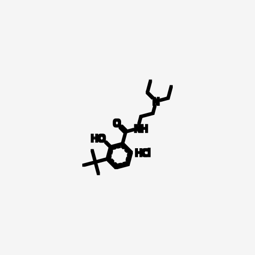 CCN(CC)CCNC(=O)c1cccc(C(C)(C)C)c1O.Cl